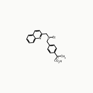 CCN(Cc1ccc([C@@H](C)C(=O)O)cc1)Cc1ccc2ccccc2n1